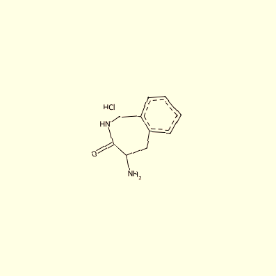 Cl.NC1Cc2ccccc2CNC1=O